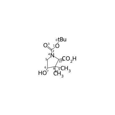 CC(C)(C)OC(=O)N1CC(O)C(C)(C)C1C(=O)O